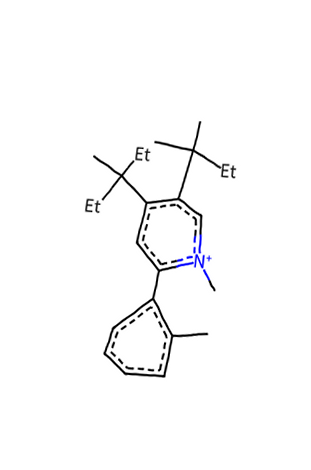 CCC(C)(C)c1c[n+](C)c(-c2ccccc2C)cc1C(C)(CC)CC